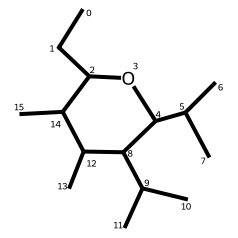 CCC1OC(C(C)C)C(C(C)C)C(C)C1C